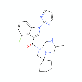 CC1CN(C2(CNC(=O)c3cn(-c4ncccn4)c4cccc(F)c34)CCCCC2)CCN1